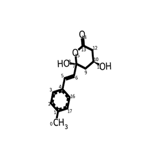 Cc1ccc(/C=C/[C@@]2(O)C[C@H](O)CC(=O)O2)cc1